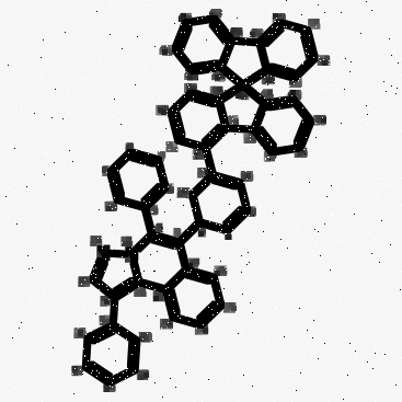 C1=CC(c2c(-c3ccccc3)n3ncc(-c4ccccc4)c3c3ccccc23)CC(c2cccc3c2-c2ccccc2C32c3ccccc3-c3ccccc32)=C1